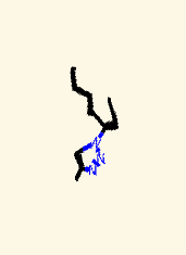 CCCCC(CC)n1cc(C)nn1